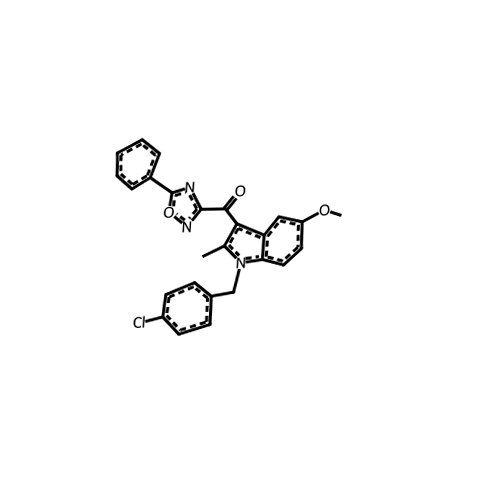 COc1ccc2c(c1)c(C(=O)c1noc(-c3ccccc3)n1)c(C)n2Cc1ccc(Cl)cc1